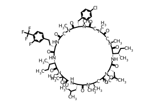 CC[C@H](C)[C@@H]1NC(=O)[C@H](CC(C)C)N(C)C(=O)C[C@@H](C)N(C)C(=O)[C@H](CC(C)C)NC(=O)C(C)(C)N(C)C(=O)[C@H]([C@@H](C)CC)NC(=O)[C@H](CCc2ccc(C(F)(F)F)c(F)c2)NC(=O)CN(C)C(=O)[C@H](Cc2ccc(Cl)cc2)N(C)C(=O)CN(C)C(=O)CN(C)C1=O